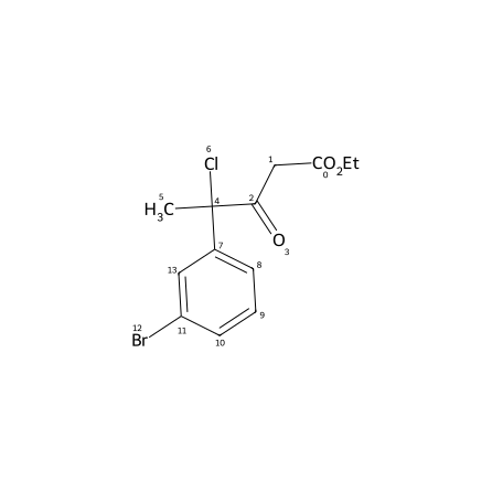 CCOC(=O)CC(=O)C(C)(Cl)c1cccc(Br)c1